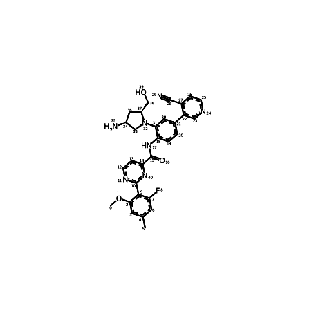 COc1cc(C)cc(F)c1-c1nccc(C(=O)Nc2ccc(-c3cnccc3C#N)cc2N2C[C@@H](N)C[C@H]2CO)n1